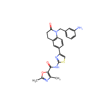 Cc1nc(C)c(C(=O)Nc2nc(-c3ccc4c(c3)CCC(=O)N4Cc3cccc(N)c3)cs2)o1